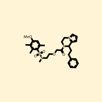 COc1cc(C)c(S(=O)(=O)N(C)CCOCC(=O)N2CCn3cccc3C2CCc2ccccc2)c(C)c1C